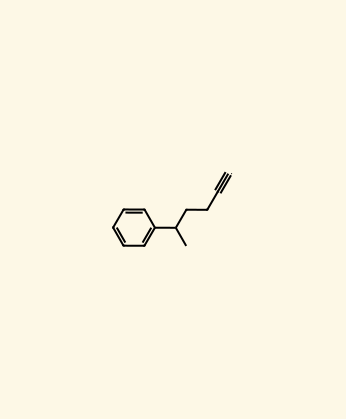 [C]#CCCC(C)c1ccccc1